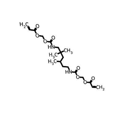 C=CC(=O)OCOC(=O)NCCC(C)CC(C)(C)CNC(=O)OCOC(=O)C=C